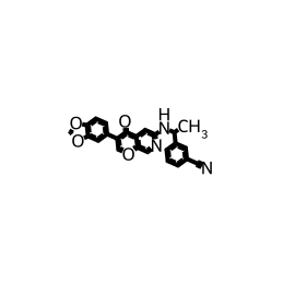 CC(Nc1cc2c(=O)c(-c3ccc4c(c3)OCO4)coc2cn1)c1cccc(C#N)c1